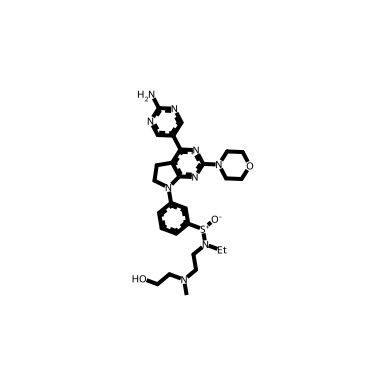 CCN(CCN(C)CCO)[S+]([O-])c1cccc(N2CCc3c(-c4cnc(N)nc4)nc(N4CCOCC4)nc32)c1